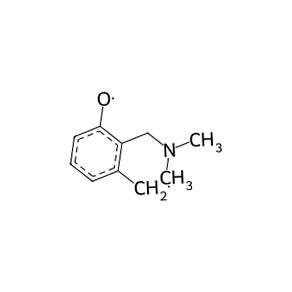 [CH2]c1cccc([O])c1CN(C)C